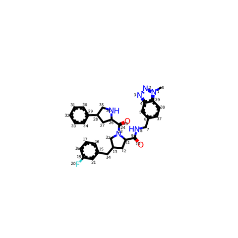 Cn1nnc2cc(CNC(=O)C3CC(Cc4cccc(F)c4)CN3C(=O)C3CC(c4ccccc4)CN3)ccc21